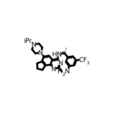 Cc1nc(N[C@H](C)c2cc(N)cc(C(F)(F)F)c2)c2cc(N3CCN(C(C)C)CC3)c3c(c2n1)CCC3